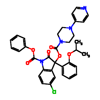 CC(C)Oc1ccccc1C1(OC(=O)N2CCN(c3ccncc3)CC2)C(=O)N(C(=O)Oc2ccccc2)c2ccc(Cl)cc21